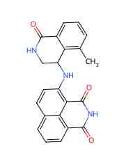 Cc1cccc2c1C(Nc1ccc3cccc4c3c1C(=O)NC4=O)CNC2=O